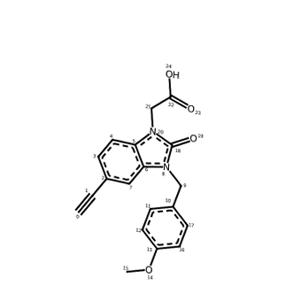 C#Cc1ccc2c(c1)n(Cc1ccc(OC)cc1)c(=O)n2CC(=O)O